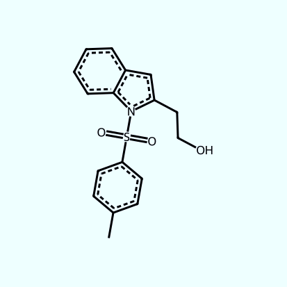 Cc1ccc(S(=O)(=O)n2c(CCO)cc3ccccc32)cc1